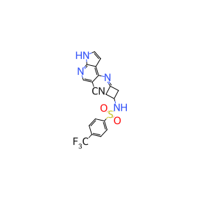 N#Cc1cnc2[nH]ccc2c1N=C1CC(NS(=O)(=O)c2ccc(C(F)(F)F)cc2)C1